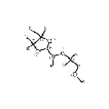 COCC(C)(C)OB(C)B1OC(C)(C)C(C)(C)O1